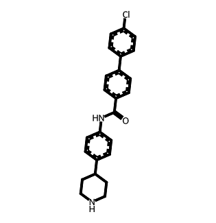 O=C(Nc1ccc(C2CCNCC2)cc1)c1ccc(-c2ccc(Cl)cc2)cc1